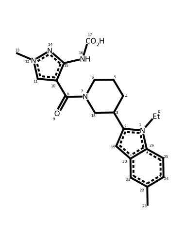 CCn1c(C2CCCN(C(=O)c3cn(C)nc3NC(=O)O)C2)cc2cc(C)ccc21